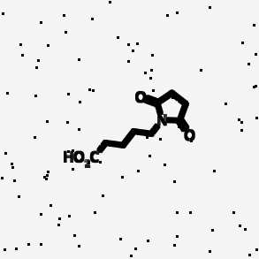 O=C(O)CCCCN1C(=O)CCC1=O